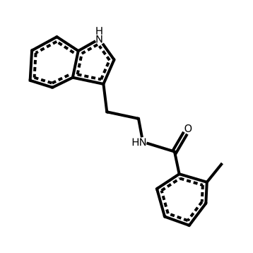 Cc1ccccc1C(=O)NCCc1c[nH]c2ccccc12